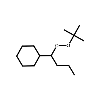 [CH2]CCC(OOC(C)(C)C)C1CCCCC1